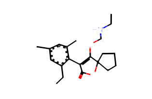 CCNCOC1=C(c2c(C)cc(C)cc2CC)C(=O)OC12CCCC2